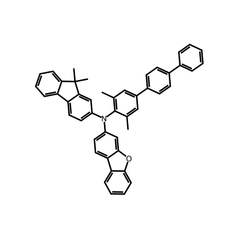 Cc1cc(-c2ccc(-c3ccccc3)cc2)cc(C)c1N(c1ccc2c(c1)C(C)(C)c1ccccc1-2)c1ccc2c(c1)oc1ccccc12